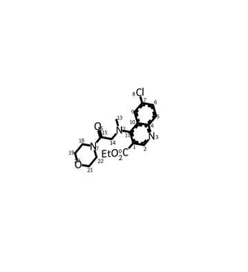 CCOC(=O)c1cnc2ccc(Cl)cc2c1N(C)CC(=O)N1CCOCC1